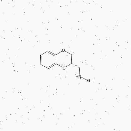 CCNC[C@H]1COc2ccccc2O1